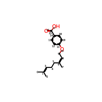 CC(C)=CCCC(C)=CCOc1ccc(C(=O)O)cc1